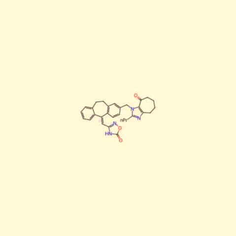 CCCc1nc2c(n1Cc1ccc3c(c1)CCc1ccccc1/C3=C/c1noc(=O)[nH]1)C(=O)CCCC2